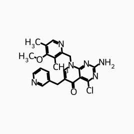 COc1c(C)cnc(Cn2cc(Cc3cccnc3)c(=O)c3c(Cl)nc(N)nc32)c1C